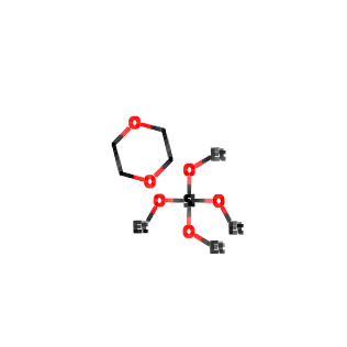 C1COCCO1.CCO[Si](OCC)(OCC)OCC